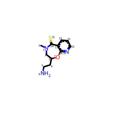 CN1CC(CCN)Oc2ncccc2C1=S